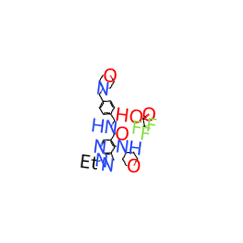 CCn1ncc2c(NC3CCOCC3)c(C(=O)NCc3ccc(CN4CCOCC4)cc3)cnc21.O=C(O)C(F)(F)F